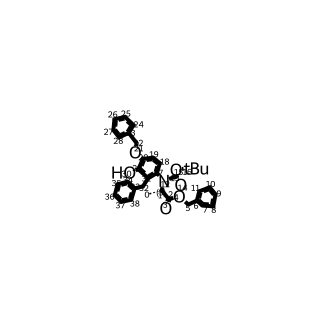 C[C@@H](C(=O)OCc1ccccc1)N(C(=O)OC(C)(C)C)c1ccc(OCc2ccccc2)c(O)c1Cc1ccccc1